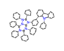 c1ccc(B2N(c3ccccc3)B(c3ccccc3)N3B(N2c2ccccc2)N(c2cccc(-c4cccc5c6ccccc6n(-c6ccccc6)c45)c2)B(c2ccccc2)N3c2ccccc2)cc1